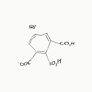 O=C([O-])c1cccc(C(=O)O)c1S(=O)(=O)O.[Na+]